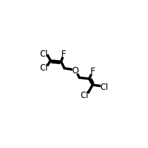 FC(COCC(F)=C(Cl)Cl)=C(Cl)Cl